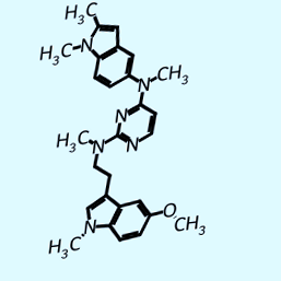 COc1ccc2c(c1)c(CCN(C)c1nccc(N(C)c3ccc4c(c3)cc(C)n4C)n1)cn2C